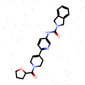 O=C(Nc1ccc(C2=CCN(C(=O)C3CCCO3)CC2)nc1)N1Cc2ccccc2C1